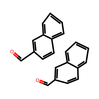 O=Cc1ccc2ccccc2c1.O=Cc1ccc2ccccc2c1